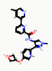 Cc1cncc(-c2cccc(C(=O)Nc3cn(C)nc3-c3ccc(OC4COC4)cn3)n2)c1